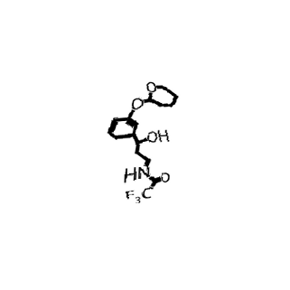 O=C(NCCC(O)c1cccc(OC2CCCCO2)c1)C(F)(F)F